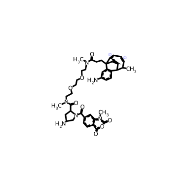 CC1/C=C\C=C/C2(CCC(=O)N(C)CCOCCOCCN(C)C(=O)C3CC(N)CN3C(=O)c3ccc4c(=O)oc(=O)n(C)c4c3)c3cc(N)ccc3C1C1C=CC=CC12